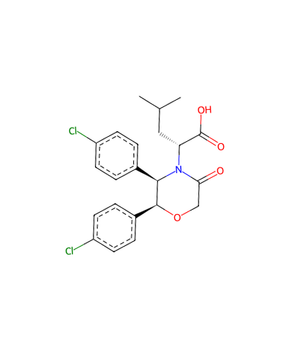 CC(C)C[C@H](C(=O)O)N1C(=O)CO[C@@H](c2ccc(Cl)cc2)[C@H]1c1ccc(Cl)cc1